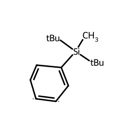 CC(C)(C)[Si](C)(c1c[c][c]cc1)C(C)(C)C